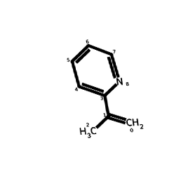 C=C(C)c1ccccn1